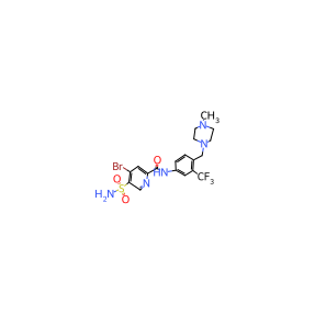 CN1CCN(Cc2ccc(NC(=O)c3cc(Br)c(S(N)(=O)=O)cn3)cc2C(F)(F)F)CC1